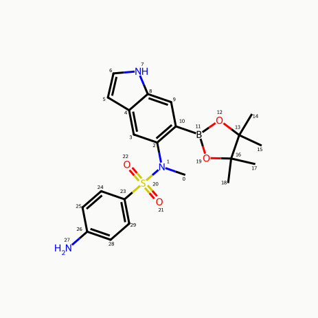 CN(c1cc2cc[nH]c2cc1B1OC(C)(C)C(C)(C)O1)S(=O)(=O)c1ccc(N)cc1